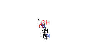 CCCCC(O)C(=O)N(C)[C@H]1CC[C@@]2(C)C(=CC[C@H]3[C@@H]4CC[C@@H]5[C@H](C)N(C)C[C@@]54CC[C@@H]32)C1